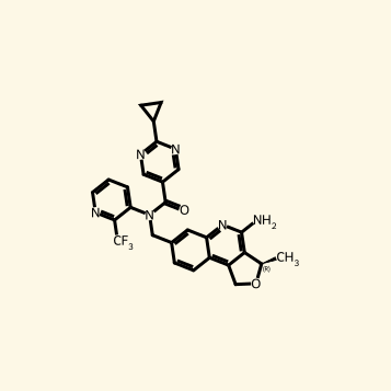 C[C@H]1OCc2c1c(N)nc1cc(CN(C(=O)c3cnc(C4CC4)nc3)c3cccnc3C(F)(F)F)ccc21